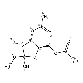 CO[C@]1(O)O[C@H](COC(C)=O)[C@@H](OC(C)=O)[C@H]1O